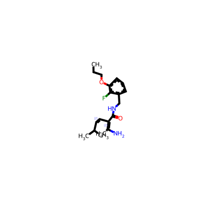 CCCOc1cccc(CNC(=O)C(/C=C\C(C)C)=C(/C)N)c1F